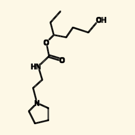 CCC(CCCO)OC(=O)NCCN1CCCC1